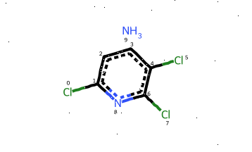 Clc1ccc(Cl)c(Cl)n1.N